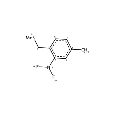 CSCc1ccc(C)cc1N(F)F